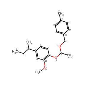 CCC(C)c1ccc(OC(C)OCc2ccc(C)cc2)c(OC)c1